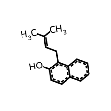 CC(C)=CCc1c(O)ccc2ccccc12